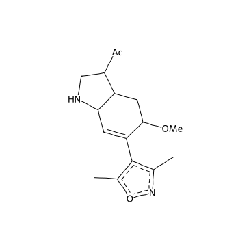 COC1CC2C(C=C1c1c(C)noc1C)NCC2C(C)=O